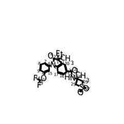 CC[C@]1(C)C(=O)N(c2cccc(OC(F)F)c2)c2ccc(C(=O)NC3(C)CS(=O)(=O)C3)cc21